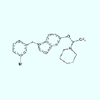 CC(Oc1ccc2c(ccn2Cc2cccc(Br)c2)c1)N1CCCCC1